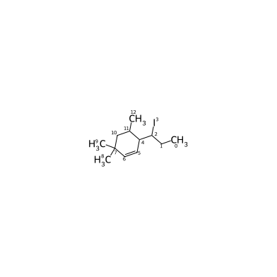 CCC(I)C1C=CC(C)(C)CC1C